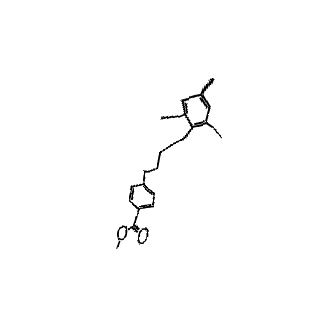 COC(=O)c1ccc(CCCCc2c(C)cc(C)cc2C)cc1